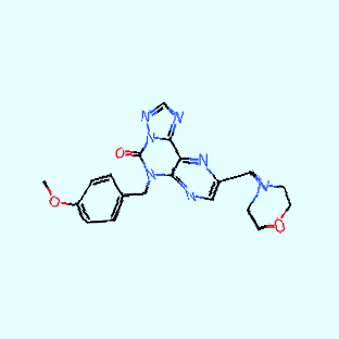 COc1ccc(Cn2c(=O)n3ncnc3c3nc(CN4CCOCC4)cnc32)cc1